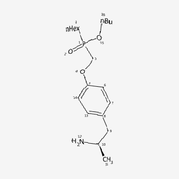 CCCCCCP(=O)(COc1ccc(C[C@@H](C)N)cc1)OCCCC